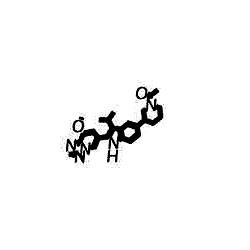 COc1cc(-c2[nH]c3ccc(C4CCCN(C(C)=O)C4)cc3c2C(C)C)cn2ncnc12